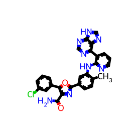 Cc1ccc(-c2nc(C(N)=O)c(-c3cccc(Cl)c3)o2)cc1Nc1ncccc1-c1ncnc2[nH]cnc12